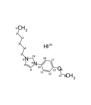 CCCCCCN1C=CN(c2ccc(OCC)cc2)C1.I